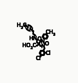 Cc1ccc(N2CC(CC(=O)O)(CC(=O)NCCCN3CCN(C)CC3)CN(Cc3ccc(Cl)cc3Cl)C2=O)cc1